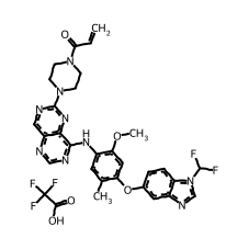 C=CC(=O)N1CCN(c2ncc3ncnc(Nc4cc(C)c(Oc5ccc6c(c5)ncn6C(F)F)cc4OC)c3n2)CC1.O=C(O)C(F)(F)F